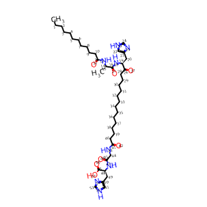 CCCCCCCCCCCC(=O)N[C@@H](C)C(=O)N[C@@H](Cc1c[nH]cn1)C(=O)CCCCCCCCCCCCCC(=O)NCC(=O)N[C@@H](Cc1c[nH]cn1)C(=O)O